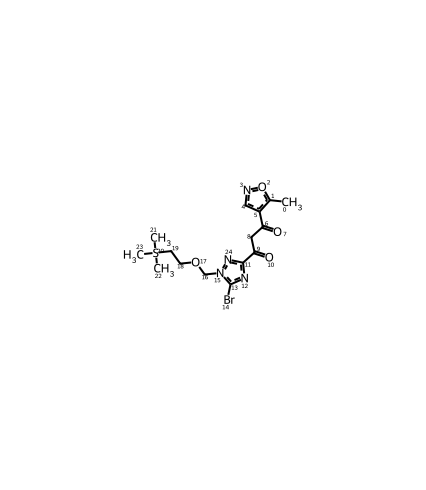 Cc1oncc1C(=O)CC(=O)c1nc(Br)n(COCCS(C)(C)C)n1